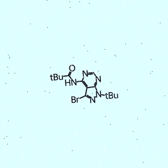 CC(C)(C)C(=O)Nc1ncnc2c1c(Br)nn2C(C)(C)C